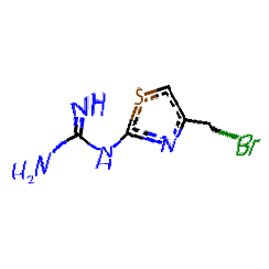 N=C(N)Nc1nc(CBr)cs1